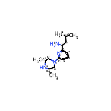 CC(C)C[C@H](N)c1cccc(N2C[C@@H](C)N[C@@H](C)C2)n1